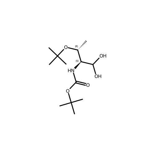 C[C@@H](OC(C)(C)C)[C@H](NC(=O)OC(C)(C)C)C(O)O